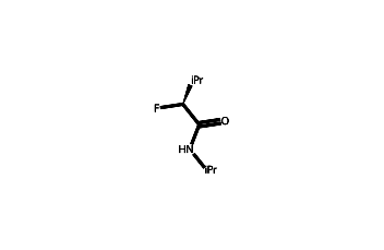 CC(C)NC(=O)[C@@H](F)C(C)C